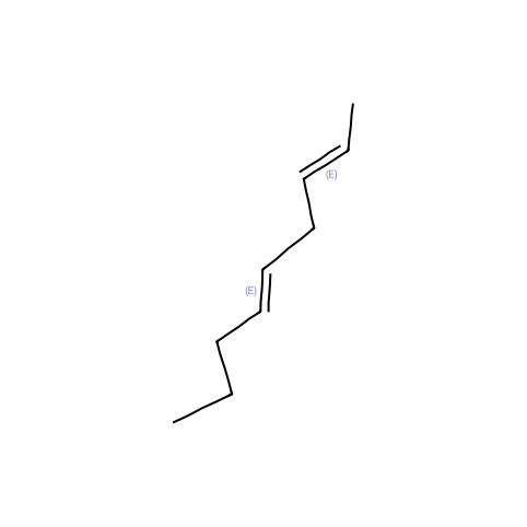 C/C=C/C/C=C/CCC